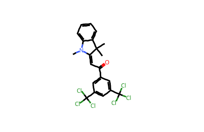 CN1/C(=C/C(=O)c2cc(C(Cl)(Cl)Cl)cc(C(Cl)(Cl)Cl)c2)C(C)(C)c2ccccc21